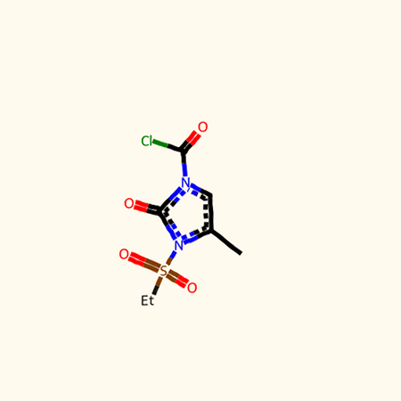 CCS(=O)(=O)n1c(C)cn(C(=O)Cl)c1=O